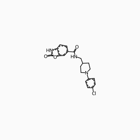 O=C(NCC1CCN(c2ccc(Cl)cc2)CC1)c1ccc2[nH]c(=O)oc2c1